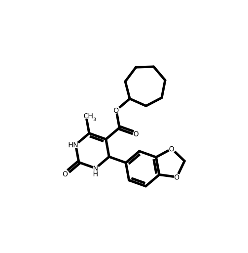 CC1=C(C(=O)OC2CCCCCC2)C(c2ccc3c(c2)OCO3)NC(=O)N1